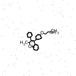 CNCCOc1ccc(/C(=C(\c2ccccc2)C(C)O)c2ccccc2)cc1